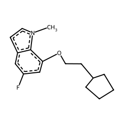 Cn1ccc2cc(F)cc(OCCC3CCCC3)c21